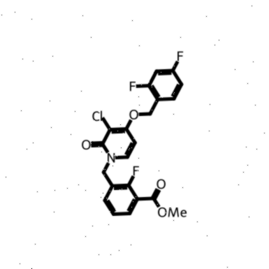 COC(=O)c1cccc(Cn2ccc(OCc3ccc(F)cc3F)c(Cl)c2=O)c1F